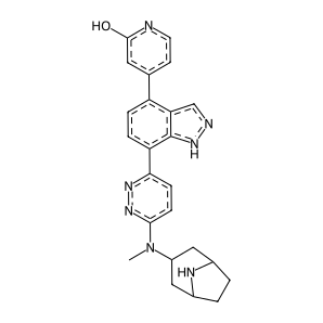 CN(c1ccc(-c2ccc(-c3ccnc(O)c3)c3cn[nH]c23)nn1)C1CC2CCC(C1)N2